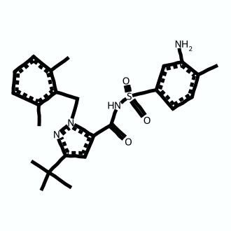 Cc1ccc(S(=O)(=O)NC(=O)c2cc(C(C)(C)C)nn2Cc2c(C)cccc2C)cc1N